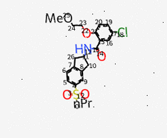 CCCS(=O)(=O)c1ccc2c(c1)CC(NC(=O)c1cc(Cl)ccc1OCCOC)C2